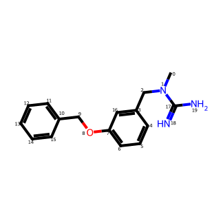 CN(Cc1cccc(OCc2ccccc2)c1)C(=N)N